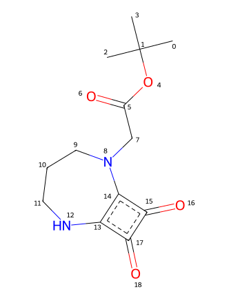 CC(C)(C)OC(=O)CN1CCCNc2c1c(=O)c2=O